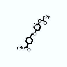 CCCCC(=O)C1CCC(COc2ccc(OC(=O)CCC)nn2)CC1